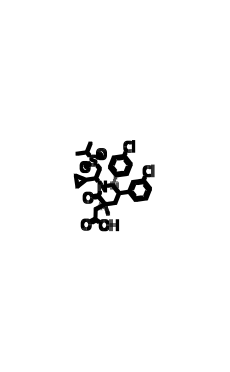 CC(C)S(=O)(=O)CC(C1CC1)N1C(=O)[C@@](C)(CC(=O)O)CC(c2cccc(Cl)c2)[C@H]1c1ccc(Cl)cc1